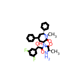 C[C@H](N)C(=O)N(C(=O)[C@@H](O)c1cc(F)cc(F)c1)[C@H]1CC(c2ccccc2)=C[C@H](c2ccccc2)N(C)C1=O